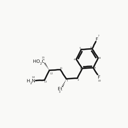 CC[C@@H](Cc1ccc(F)cc1F)C[C@H](CN)C(=O)O